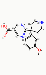 COc1cccc(C2(c3ncc(C(=O)O)cn3)CCNCC2)c1